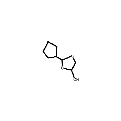 OC1COC(C2CCCC2)O1